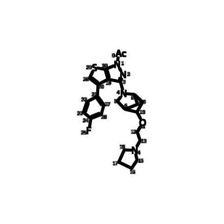 CC(=O)n1nc(N2CC3CC2CC3OCCN2CCCC2)c2c(-c3ccc(F)cc3)csc21